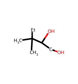 CCC(C)(C)C(O)CO